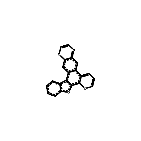 C1=COc2c(c3cc4c(cc3c3c2oc2ccccc23)OC=CN=4)=C1